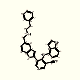 N#Cc1cncc(-c2cc3cc(CNCCc4ccccc4)ccc3s2)c1Nc1cccc2[nH]ccc12